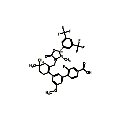 COc1cc(C2=C(CN3C(=O)O[C@H](c4cc(C(F)(F)F)cc(C(F)(F)F)c4)[C@@H]3C)CC(C)(C)CC2)cc(-c2ccc(C(=O)O)cc2F)c1